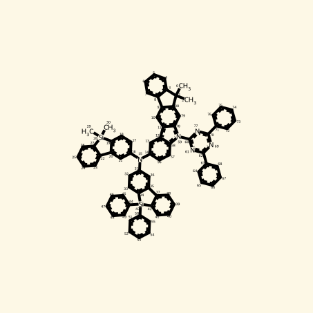 CC1(C)c2ccccc2-c2cc3c4cc(N(c5ccc6c(c5)-c5ccccc5[Si]6(C)C)c5ccc6c(c5)-c5ccccc5[Si]6(c5ccccc5)c5ccccc5)ccc4n(-c4nc(-c5ccccc5)nc(-c5ccccc5)n4)c3cc21